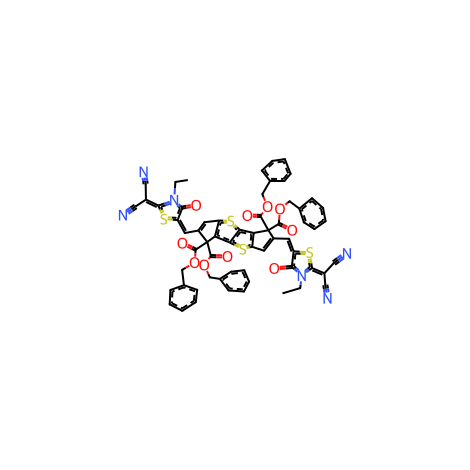 CCn1c(=C(C#N)C#N)s/c(=C/C2=Cc3sc4c5c(sc4c3C2(C(=O)OCc2ccccc2)C(=O)OCc2ccccc2)C=C(/C=c2/sc(=C(C#N)C#N)n(CC)c2=O)C5(C(=O)OCc2ccccc2)C(=O)OCc2ccccc2)c1=O